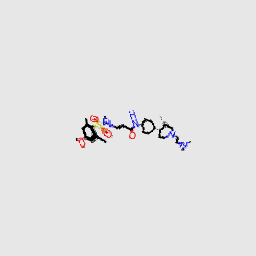 COc1cc(C)c(S(=O)(=O)N(C)CCC(=O)N[C@H]2CC[C@@H](C3CCN(CCN(C)C)C[C@H]3C)CC2)c(C)c1